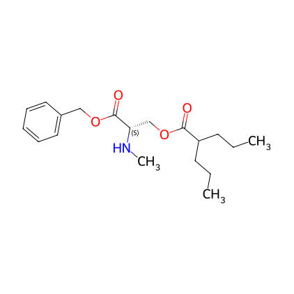 CCCC(CCC)C(=O)OC[C@H](NC)C(=O)OCc1ccccc1